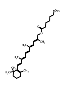 CCCCCCCCCCCCCCCC(=O)OC/C(C)=C/C=C(C)/C=C/C=C(C)/C=C/C1=C(C)CCCC1(C)C